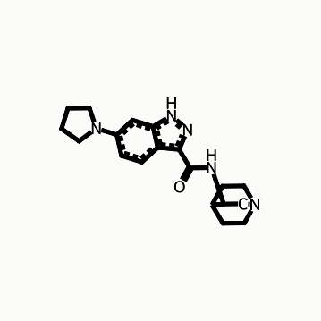 O=C(NC1CN2CCC1CC2)c1n[nH]c2cc(N3CCCC3)ccc12